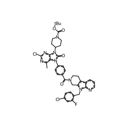 Cc1nc(Cl)nc2c1n(-c1ccc(C(=O)N3CCc4c(n(Cc5ccc(Cl)cc5F)c5ncccc45)C3)cc1)c(=O)n2C1CCN(C(=O)OC(C)(C)C)CC1